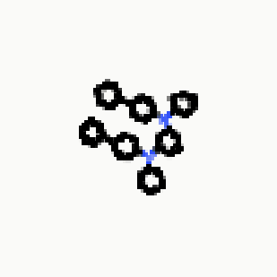 c1ccc(-c2ccc(N(c3ccccc3)c3cccc(N(c4ccccc4)c4ccc(-c5ccccc5)cc4)c3)cc2)cc1